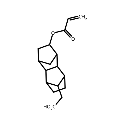 C=CC(=O)OC1CC2CC1C1C3CCC(C3CC(=O)O)C21